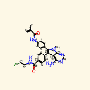 C=C(C)C(=O)Nc1ccc(-c2c(-c3ccc(C(=O)NCCF)cc3)c3c(N)ncnc3n2C)cc1